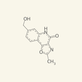 Cc1nc2c(=O)[nH]c3cc(CO)ccc3c2o1